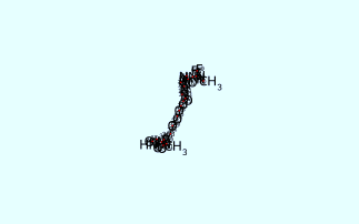 Cn1cc(NC(=O)c2cnn3ccc(N4CCN(C(=O)COCCOCCOCCOCCCc5ccc6c(c5)n(C)c(=O)n6C5CCC(=O)NC5=O)CC4)nc23)c(C(F)F)n1